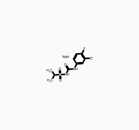 CC(C)S(=O)(=O)NC(=O)Nc1ccc(F)c(Cl)c1.[NaH]